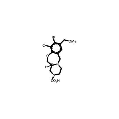 COCc1cc2c(c(Cl)c1Br)OC[C@H]1CN(C(=O)O)CCN1C2